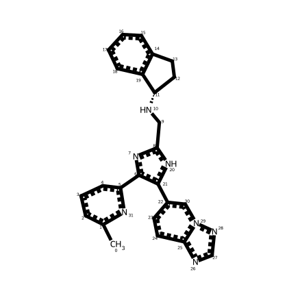 Cc1cccc(-c2nc(CN[C@H]3CCc4ccccc43)[nH]c2-c2ccc3ncnn3c2)n1